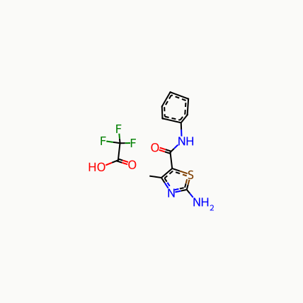 Cc1nc(N)sc1C(=O)Nc1ccccc1.O=C(O)C(F)(F)F